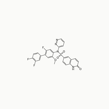 COc1cc(-c2ccc(F)c(F)c2)c(F)cc1N(c1cccnn1)S(=O)(=O)c1ccc2[nH]c(=O)ccc2c1